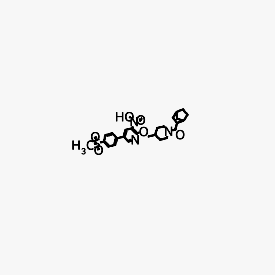 CS(=O)(=O)c1ccc(-c2cnc(OCC3CCN(C(=O)C4CC5CCC4C5)CC3)c([N+](=O)O)c2)cc1